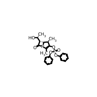 CC1=C(OP(=O)(Oc2ccccc2)Oc2ccccc2)[C@H](C)C2[C@@H]([C@@H](C)O)C(=O)N12